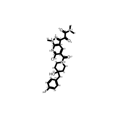 CN(C)C(=O)C(=O)c1nn(C)c2nc(Cl)c(C(=O)N3CCC(O)(Cc4ccc(F)cc4)CC3)cc12